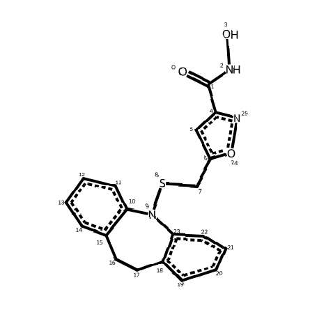 O=C(NO)c1cc(CSN2c3ccccc3CCc3ccccc32)on1